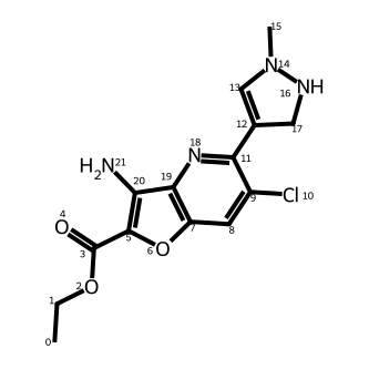 CCOC(=O)c1oc2cc(Cl)c(C3=CN(C)NC3)nc2c1N